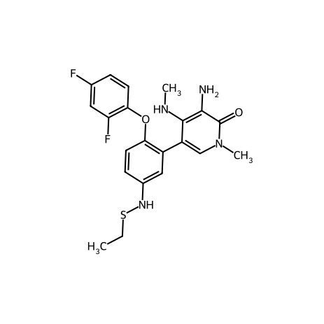 CCSNc1ccc(Oc2ccc(F)cc2F)c(-c2cn(C)c(=O)c(N)c2NC)c1